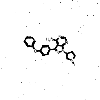 Nc1ncnc2c1c(-c1ccc(Oc3ccccc3)cc1)nn2C1CCN(I)C1